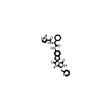 CNC(=O)C1(N2C[C@@H](Cc3ccccn3)NC2=O)Cc2ccc(NC(=O)[C@@H](NC(=O)c3ccnn3C)C3CCCCC3)cc2C1